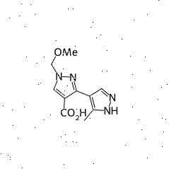 COCn1cc(C(=O)O)c(-c2cn[nH]c2C)n1